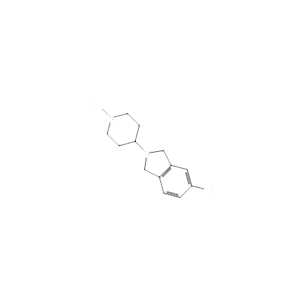 CC(C)(C)N1CCC(N2Cc3ccc(Cl)cc3C2)CC1